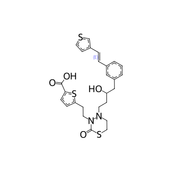 O=C(O)c1ccc(CCN2C(=O)SCCN2CCC(O)Cc2cccc(/C=C/c3ccsc3)c2)s1